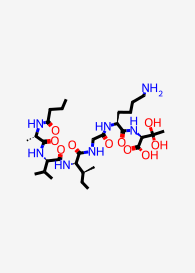 CCCC(=O)N[C@@H](C)C(=O)N[C@H](C(=O)N[C@H](C(=O)NCC(=O)N[C@@H](CCCCN)C(=O)N[C@H](C(=O)O)C(C)(O)O)[C@@H](C)CC)C(C)C